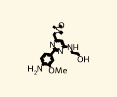 C=S(C)(=O)Cc1cc(NCCO)nc(-c2ccc(N)c(OC)c2)n1